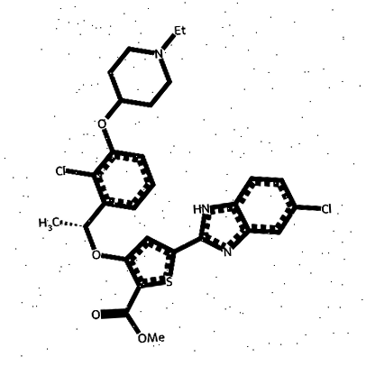 CCN1CCC(Oc2cccc([C@@H](C)Oc3cc(-c4nc5cc(Cl)ccc5[nH]4)sc3C(=O)OC)c2Cl)CC1